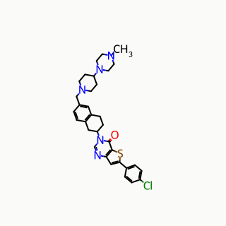 CN1CCN(C2CCN(Cc3ccc4c(c3)CCC(n3cnc5cc(-c6ccc(Cl)cc6)sc5c3=O)C4)CC2)CC1